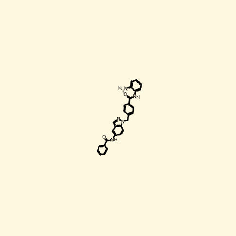 Nc1ccccc1NC(=O)c1ccc(Cn2ncc3cc(NC(=O)c4ccccc4)ccc32)cc1